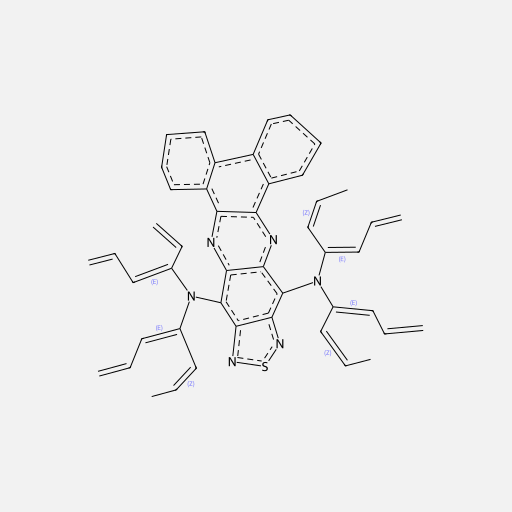 C=C/C=C(\C=C)N(C(/C=C\C)=C/C=C)c1c2nsnc2c(N(C(/C=C\C)=C/C=C)C(/C=C\C)=C/C=C)c2nc3c4ccccc4c4ccccc4c3nc12